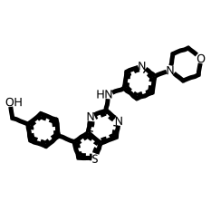 OCc1ccc(-c2csc3cnc(Nc4ccc(N5CCOCC5)nc4)nc23)cc1